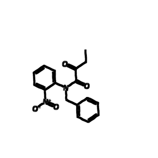 CCC(=O)C(=O)N(Cc1ccccc1)c1ccccc1[N+](=O)[O-]